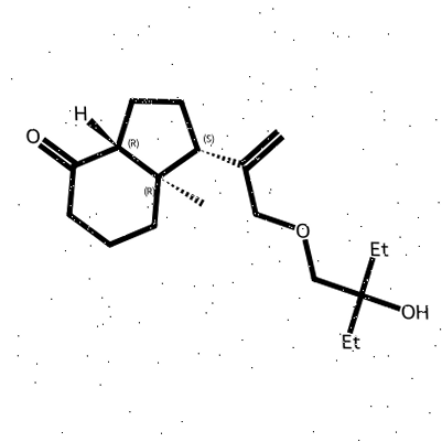 C=C(COCC(O)(CC)CC)[C@H]1CC[C@H]2C(=O)CCC[C@]12C